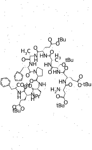 CC(C)C[C@H](NC(=O)[C@@H]1CCCN1C(=O)[C@H](Cc1ccccc1)NC(=O)[C@H](C)NC(=O)[C@H](CCC(=O)OC(C)(C)C)NC(=O)[C@H](C)NC(=O)[C@H](COC(C)(C)C)NC(=O)[C@H](CCC(=O)OC(C)(C)C)NC(=O)[C@@H](N)CC(=O)OC(C)(C)C)C(=O)N[C@@H](CCC(=O)OC(C)(C)C)C(=O)N[C@@H](Cc1ccccc1)C(=O)O